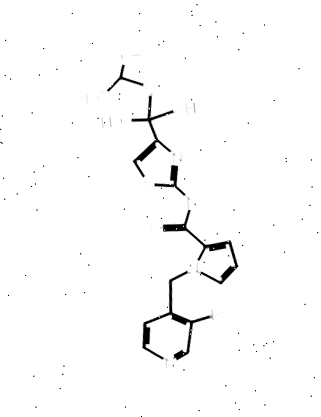 CC(C)OC(C)(C)c1csc(NC(=O)c2cccn2Cc2ccncc2Br)n1